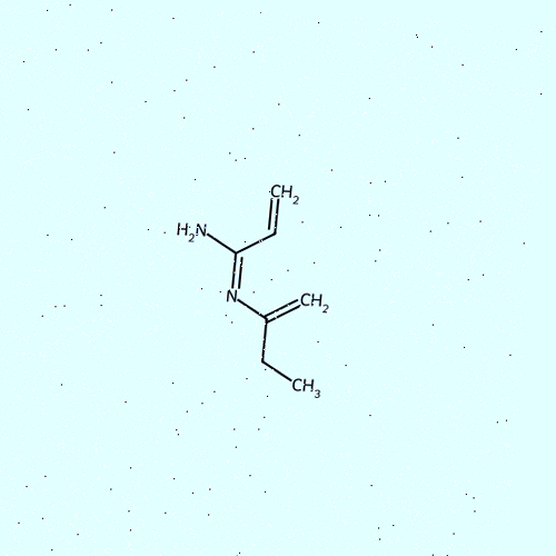 C=C/C(N)=N\C(=C)CC